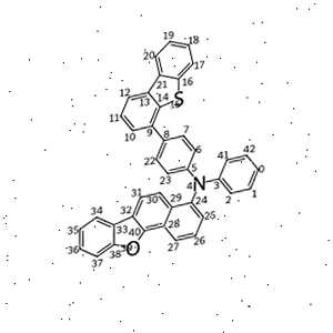 c1ccc(N(c2ccc(-c3cccc4c3sc3ccccc34)cc2)c2cccc3c2ccc2c4ccccc4oc32)cc1